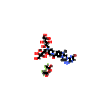 CCn1c(CN(C=O)c2nc(Br)cnc2N)[n+](CC)c2ccc(C(=O)N3CCC(N(C[C@H](O)[C@@H](O)[C@H](O)[C@H](O)CO)C[C@H](O)[C@@H](O)[C@H](O)[C@H](O)CO)CC3)cc21.O=C(O)C(F)(F)F.O=C([O-])C(F)(F)F